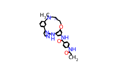 C=CC(=O)Nc1ccc(C(=O)Nc2cc3cc(c2)OCC/C=C/CN(C)Cc2cccc(c2)-c2ccnc(n2)N3)cc1